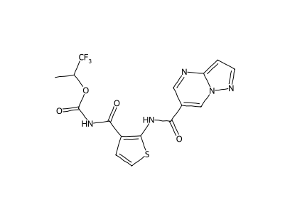 CC(OC(=O)NC(=O)c1ccsc1NC(=O)c1cnc2ccnn2c1)C(F)(F)F